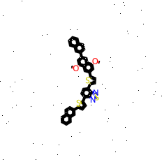 COc1cc(-c2ccc(-c3ccc(-c4ccc(-c5ccc6ccccc6c5)s4)c4nsnc34)s2)cc2c(OC)cc(-c3ccc4ccccc4c3)cc12